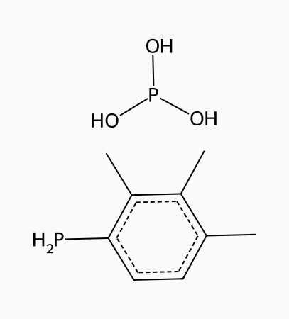 Cc1ccc(P)c(C)c1C.OP(O)O